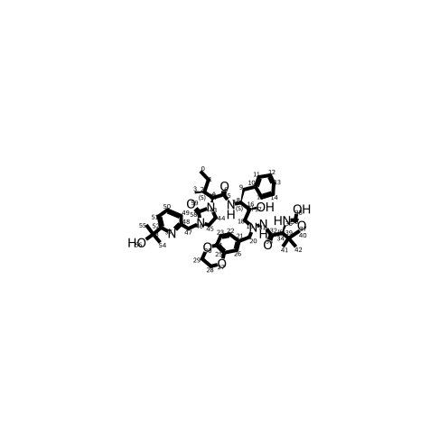 CC[C@H](C)[C@@H](C(=O)N[C@@H](Cc1ccccc1)[C@@H](O)CN(Cc1ccc2c(c1)OCCO2)NC(=O)[C@@H](NC(=O)O)C(C)(C)C)N1CCN(Cc2cccc(C(C)(C)O)n2)C1=O